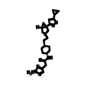 Cn1ncc(CC(=O)N[C@H]2CC[C@H](CCN3C[C@@H]4C[C@]4(c4cc(C5CC5)on4)C3)CC2)n1